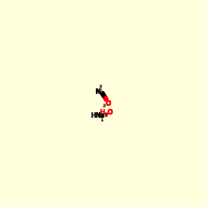 O.[NaH].[O]=[Ni]